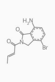 C/C=C/C(=O)N1Cc2c(Br)ccc(N)c2C1=O